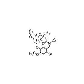 COCCCOc1cc(CN(C(=O)OC(C)(C)C)C2CC2)c(Br)cc1OC